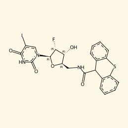 O=C(NC[C@H]1O[C@@H](n2cc(I)c(=O)[nH]c2=O)[C@H](F)[C@@H]1O)C1c2ccccc2Sc2ccccc21